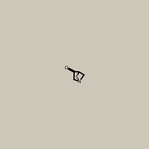 O=C1CN2CC1S2